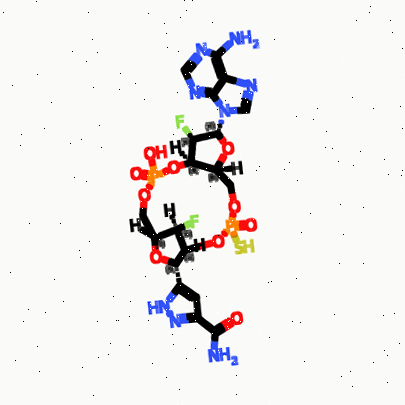 NC(=O)c1cc([C@@H]2O[C@@H]3COP(=O)(O)O[C@H]4[C@@H](F)[C@H](n5cnc6c(N)ncnc65)O[C@@H]4COP(=O)(S)O[C@@H]2[C@@H]3F)[nH]n1